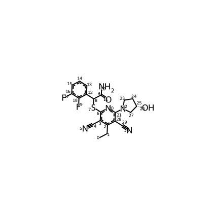 CCc1c(C#N)c(SC(C(N)=O)c2cccc(F)c2F)nc(N2CC[C@H](O)C2)c1C#N